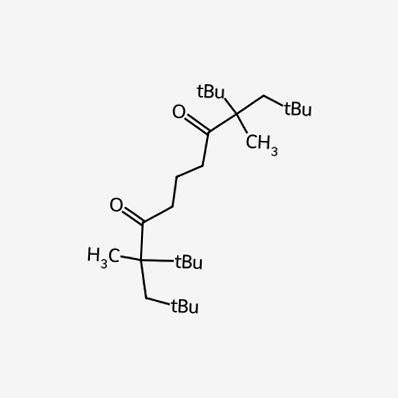 CC(C)(C)CC(C)(C(=O)CCCC(=O)C(C)(CC(C)(C)C)C(C)(C)C)C(C)(C)C